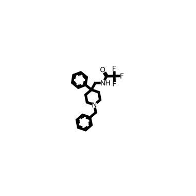 O=C(NCC1(c2ccccc2)CCN(Cc2ccccc2)CC1)C(F)(F)F